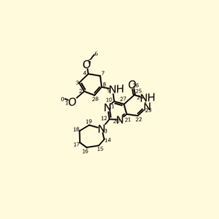 COC1=CC(OC)CC(Nc2nc(N3CCCCCC3)nc3cn[nH]c(=O)c23)=C1